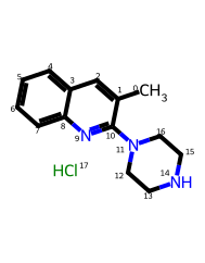 Cc1cc2ccccc2nc1N1CCNCC1.Cl